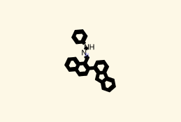 C(=N\Nc1ccccc1)/c1c(-c2cccc3c2Cc2ccccc2-3)ccc2ccccc12